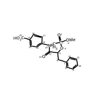 COP(C)(=O)OC(Cc1ccccc1)C(=O)Nc1ccc(C(=O)O)cc1